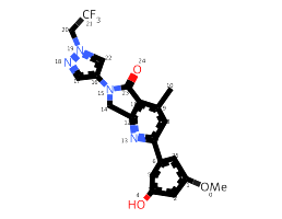 COc1cc(O)cc(-c2cc(C)c3c(n2)CN(c2cnn(CC(F)(F)F)c2)C3=O)c1